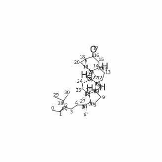 CC[C@H](CC[C@@H](C)[C@H]1CC[C@H]2[C@@H]3CC[C@H]4CC(=O)C5=C(C5)[C@]4(C)[C@H]3CC[C@]12C)C(C)C